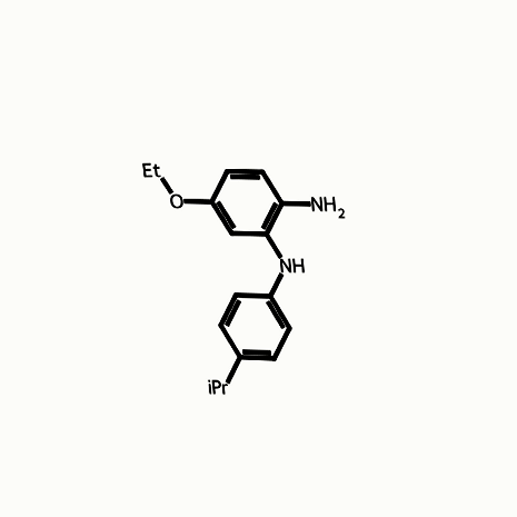 CCOc1ccc(N)c(Nc2ccc(C(C)C)cc2)c1